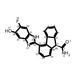 NC(=O)[C@@H]1c2ccccc2-c2c(-c3nc4cc(O)c(F)cc4[nH]3)cccc21